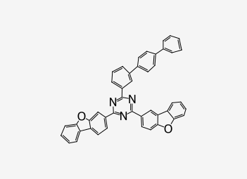 c1ccc(-c2ccc(-c3cccc(-c4nc(-c5ccc6c(c5)oc5ccccc56)nc(-c5ccc6oc7ccccc7c6c5)n4)c3)cc2)cc1